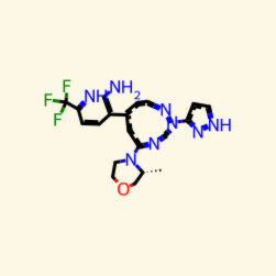 C[C@@H]1COCCN1c1cc(C(/C=C\C(=N)C(F)(F)F)=C\N)ccnn(-c2cc[nH]n2)cn1